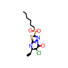 C#Cc1nc2sc(S(=O)(=O)CCCCCC)nn2c(=O)c1Cl